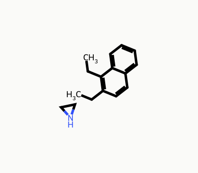 C1CN1.CCc1ccc2ccccc2c1CC